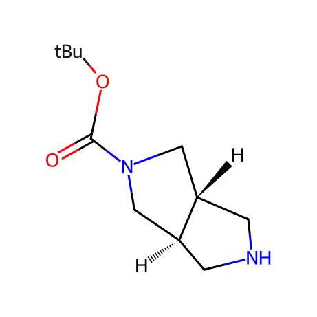 CC(C)(C)OC(=O)N1C[C@@H]2CNC[C@H]2C1